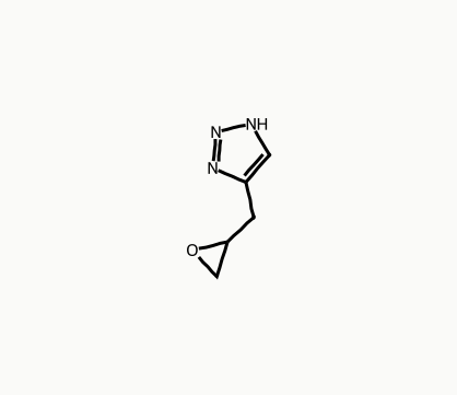 c1[nH]nnc1CC1CO1